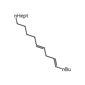 [CH2]CCCC=CCC=CCCCCCCCCCCC